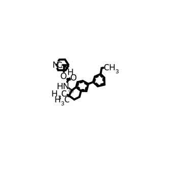 CCc1cccc(-c2ccc3c(c2)CCC(C)(C)[C@H]3NC(=O)O[C@@H]2CN3CCC2CC3)c1